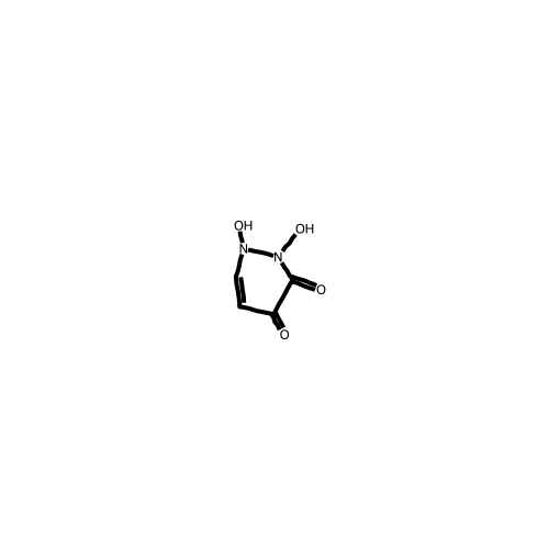 O=c1ccn(O)n(O)c1=O